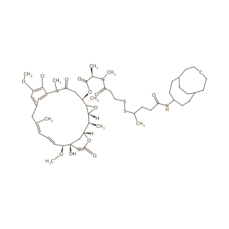 COc1cc2cc(c1Cl)N(C)C(=O)C[C@@H](OC(=O)[C@@H](C)N(C)C(=O)CCSSC(C)CCC(=O)NC1CCC3CCCCCC(CC3)CC1)[C@@]1(C)O[C@@H]1[C@@H](C)[C@H]1C[C@](O)(NC(=O)O1)[C@@H](OC)/C=C/C=C(\C)C2